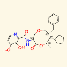 COc1ccnc(C(=O)N[C@H]2COC[C@H](Cc3ccccc3)[C@@H](C3CCCC3)[C@H](C)OC2=O)c1O